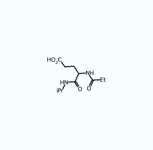 CCC(=O)NC(CCC(=O)O)C(=O)NC(C)C